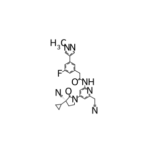 Cn1cc(-c2cc(F)cc(CC(=O)Nc3cc(N4CC[C@@](C#N)(C5CC5)C4=O)cc(CC#N)n3)c2)cn1